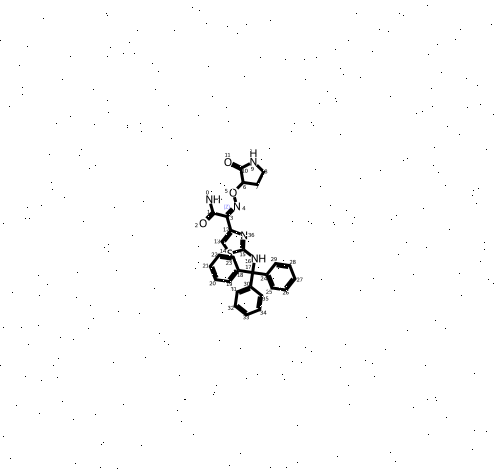 [NH]C(=O)/C(=N\OC1CCNC1=O)c1csc(NC(c2ccccc2)(c2ccccc2)c2ccccc2)n1